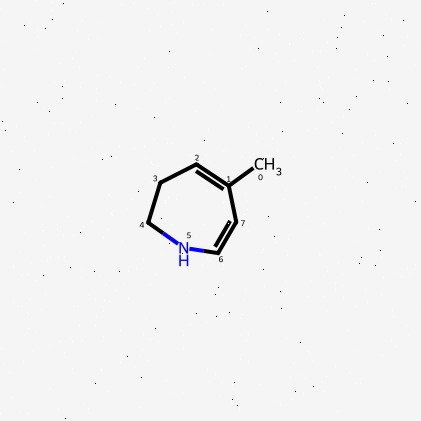 CC1=CCCNC=C1